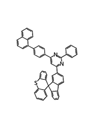 c1ccc(-c2nc(-c3ccc(-c4cccc5ccccc45)cc3)cc(-c3ccc4c(c3)C3(c5ccccc5Sc5ccccc53)c3ccccc3-4)n2)cc1